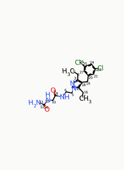 CCc1nn(CCNC(=O)CNC(N)=O)c(CC)c1Cc1cc(Cl)cc(Cl)c1